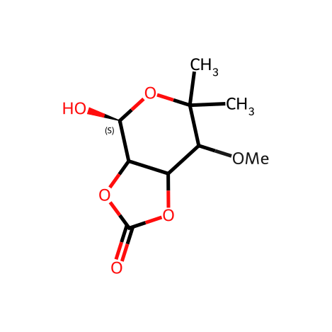 COC1C2OC(=O)OC2[C@@H](O)OC1(C)C